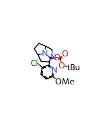 COc1ccc(Cl)c(C(=O)N2C3CCC2CN(C(=O)OC(C)(C)C)CC3)n1